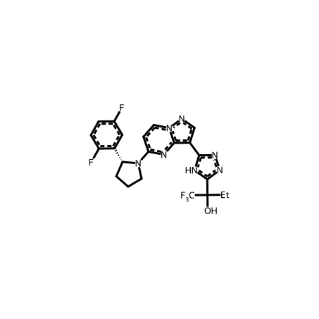 CCC(O)(c1nnc(-c2cnn3ccc(N4CCC[C@@H]4c4cc(F)ccc4F)nc23)[nH]1)C(F)(F)F